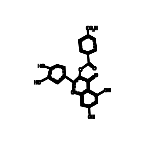 O=C(O)c1ccc(C(=O)Oc2c(-c3ccc(O)c(O)c3)oc3cc(O)cc(O)c3c2=O)cc1